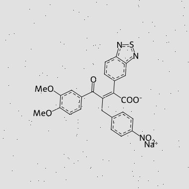 COc1ccc(C(=O)/C(Cc2ccc([N+](=O)[O-])cc2)=C(/C(=O)[O-])c2ccc3nsnc3c2)cc1OC.[Na+]